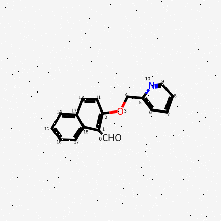 O=Cc1c(OCc2ccccn2)ccc2ccccc12